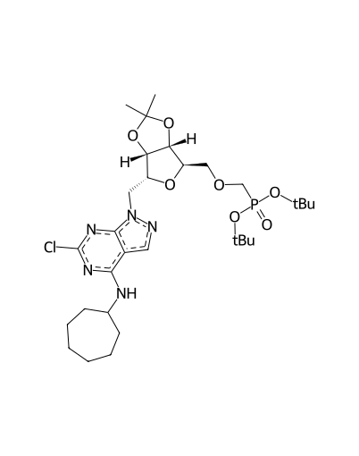 CC(C)(C)OP(=O)(COC[C@H]1O[C@H](Cn2ncc3c(NC4CCCCCC4)nc(Cl)nc32)[C@@H]2OC(C)(C)O[C@@H]21)OC(C)(C)C